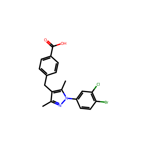 Cc1nn(-c2ccc(Br)c(Cl)c2)c(C)c1Cc1ccc(C(=O)O)cc1